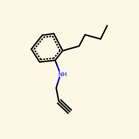 C#CCNc1ccccc1CCCC